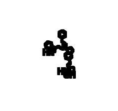 O=C(C=Cc1ccc2c(c1)CCC2N(CCc1ccccc1)CCc1c[nH]c2ccccc12)NO